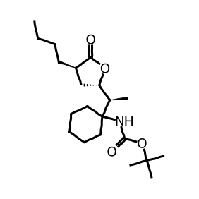 CCCC[C@@H]1C[C@@H]([C@@H](C)C2(NC(=O)OC(C)(C)C)CCCCC2)OC1=O